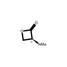 CN[C@H]1COC1=O